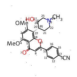 COc1cc(OC)c2c(=O)cc(-c3ccc(C#N)cc3)oc2c1[C@H]1CCN(C)C[C@H]1O